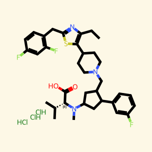 CCc1nc(Cc2ccc(F)cc2F)sc1C1CCN(CC2CC(N(C)[C@@H](C(=O)O)C(C)C)CC2c2cccc(F)c2)CC1.Cl.Cl.Cl